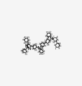 c1ccc(-c2cccc(-n3c4ccccc4c4cc(-c5ccc6c(c5)c5ccccc5n6-c5ccc(-c6cc(-c7ccccc7)nc(-c7ccccc7)n6)cc5)ccc43)c2)cc1